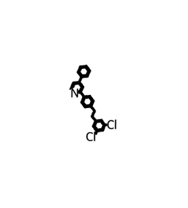 Clc1cc(Cl)cc(CCc2ccc(-c3cc(-c4ccccc4)ccn3)cc2)c1